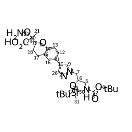 CC(C)(C)OC(=O)NCC(Cn1cc(-c2ccc3c(c2)CCC(C(C)(ON)C(=O)O)O3)cn1)O[Si](C)(C)C(C)(C)C